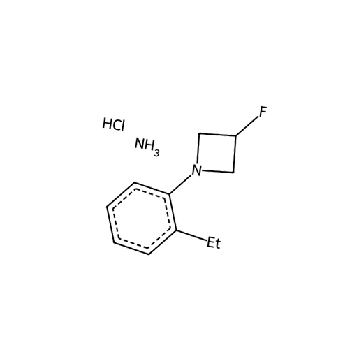 CCc1ccccc1N1CC(F)C1.Cl.N